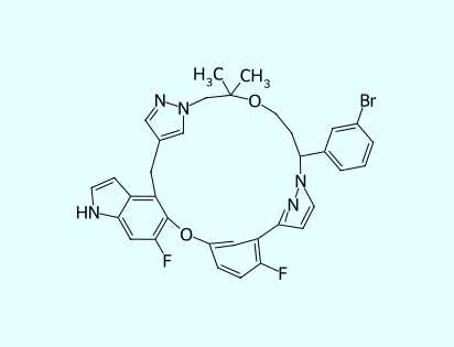 CC1(C)Cn2cc(cn2)Cc2c(c(F)cc3[nH]ccc23)Oc2ccc(F)c(c2)-c2ccn(n2)C(c2cccc(Br)c2)CCO1